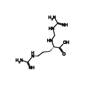 N=C(N)NCCC[C@H](NCNC(=N)N)C(=O)O